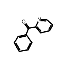 O=C(c1ccccc1)c1cc[c]cn1